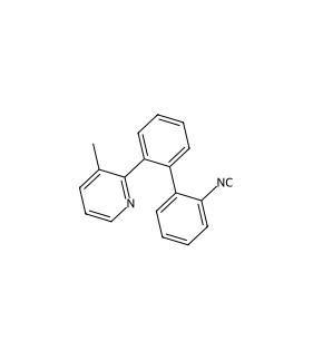 [C-]#[N+]c1ccccc1-c1ccccc1-c1ncccc1C